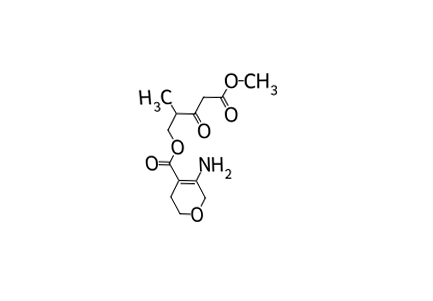 COC(=O)CC(=O)C(C)COC(=O)C1=C(N)COCC1